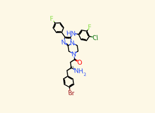 N[C@H](CC(=O)N1CCn2c(nc(-c3ccc(F)cc3)c2Nc2ccc(Cl)c(F)c2)C1)Cc1ccc(Br)cc1